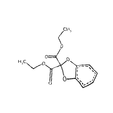 CCOC(=O)C1(C(=O)OCC)Oc2ccccc2O1